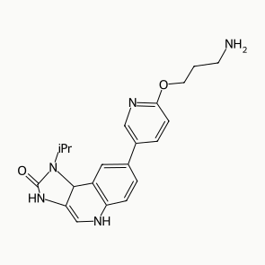 CC(C)N1C(=O)NC2=CNc3ccc(-c4ccc(OCCCN)nc4)cc3C21